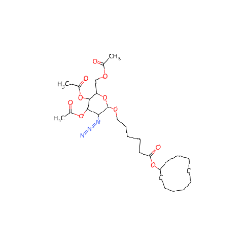 CC(=O)OCC1OC(OCCCCCC(=O)OC2CCCCCCCCC2)C(N=[N+]=[N-])C(OC(C)=O)C1OC(C)=O